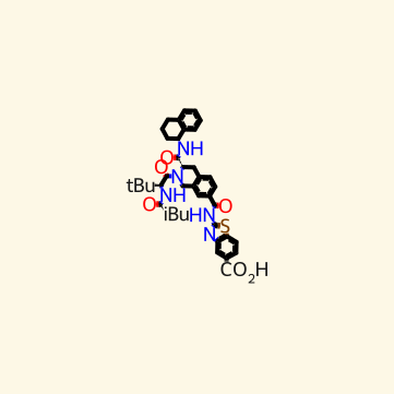 CC[C@@H](C)C(=O)N[C@H](C(=O)N1Cc2cc(C(=O)Nc3nc4cc(C(=O)O)ccc4s3)ccc2C[C@H]1C(=O)N[C@@H]1CCCc2ccccc21)C(C)(C)C